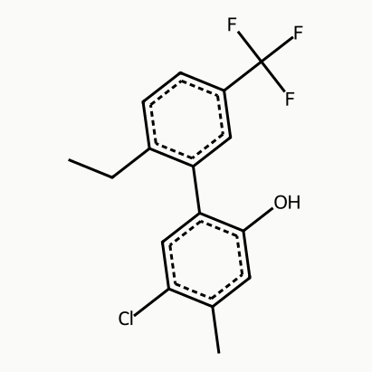 CCc1ccc(C(F)(F)F)cc1-c1cc(Cl)c(C)cc1O